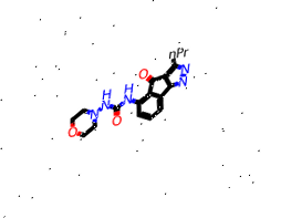 CCCC1=C2C(=O)c3c(NC(=O)NN4CCOCC4)cccc3C2N=N1